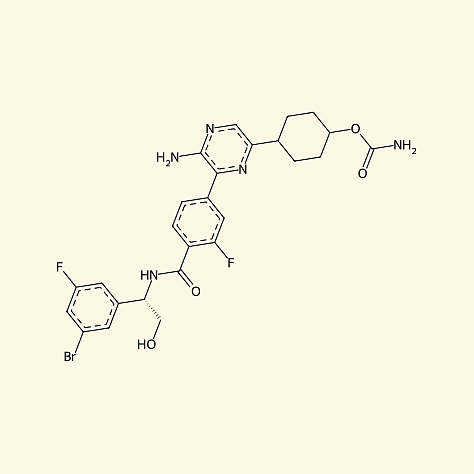 NC(=O)OC1CCC(c2cnc(N)c(-c3ccc(C(=O)N[C@H](CO)c4cc(F)cc(Br)c4)c(F)c3)n2)CC1